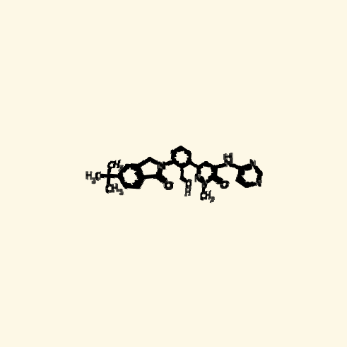 Cn1nc(-c2cccc(N3Cc4cc(C(C)(C)C)ccc4C3=O)c2CO)cc(Nc2ccncn2)c1=O